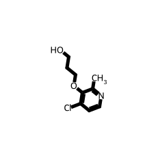 Cc1nccc(Cl)c1OCCCO